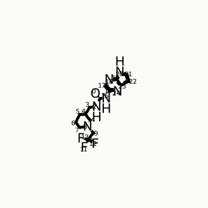 O=C(NCC1CCCN(CC(F)(F)F)C1)Nc1cnc2[nH]ccc2n1